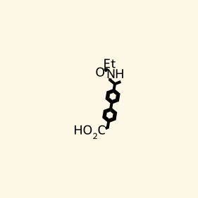 CCC(=O)NCC(C)c1ccc(-c2ccc(CC(=O)O)cc2)cc1